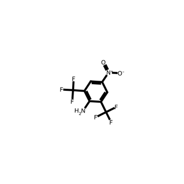 Nc1c(C(F)(F)F)cc([N+](=O)[O-])cc1C(F)(F)F